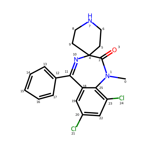 CN1C(=O)C2(CCNCC2)N=C(c2ccccc2)c2cc(Cl)cc(Cl)c21